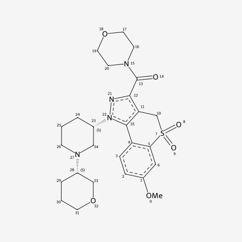 COc1ccc2c(c1)S(=O)(=O)Cc1c(C(=O)N3CCOCC3)nn([C@H]3CCCN([C@H]4CCCOC4)C3)c1-2